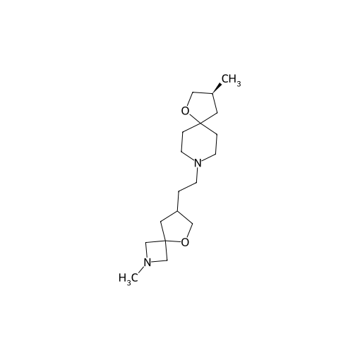 C[C@@H]1COC2(CCN(CCC3COC4(C3)CN(C)C4)CC2)C1